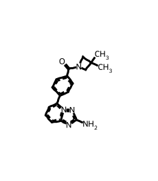 CC1(C)CN(C(=O)c2ccc(-c3cccc4nc(N)nn34)cc2)C1